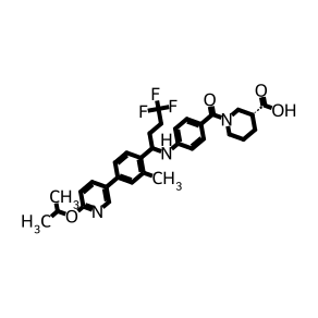 Cc1cc(-c2ccc(OC(C)C)nc2)ccc1C(CCC(F)(F)F)Nc1ccc(C(=O)N2CCC[C@@H](C(=O)O)C2)cc1